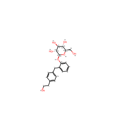 OCCc1ccc(Cc2ccccc2O[C@@H]2O[C@H](CO)[C@@H](O)[C@H](O)[C@H]2O)cc1